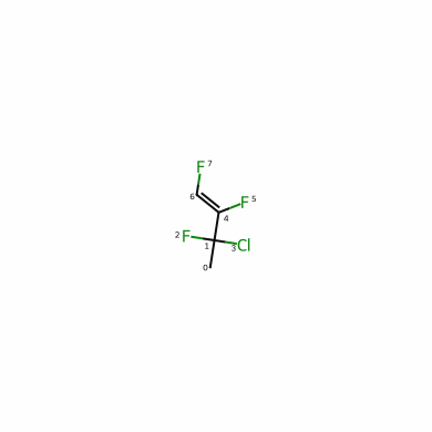 CC(F)(Cl)/C(F)=C/F